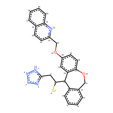 SC(Cc1nnn[nH]1)C1c2ccccc2COc2ccc(OCc3ccc4ccccc4n3)cc21